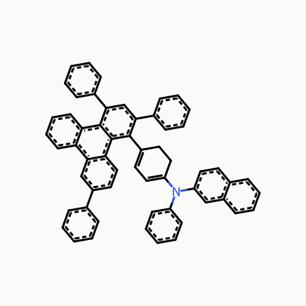 C1=C(c2c(-c3ccccc3)cc(-c3ccccc3)c3c4ccccc4c4cc(-c5ccccc5)ccc4c23)CCC(N(c2ccccc2)c2ccc3ccccc3c2)=C1